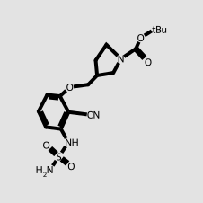 CC(C)(C)OC(=O)N1CCC(COc2cccc(NS(N)(=O)=O)c2C#N)C1